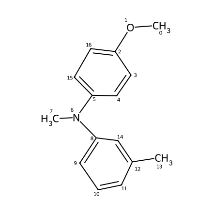 COc1ccc(N(C)c2cccc(C)c2)cc1